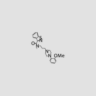 COc1ccccc1N1CCN(CCCN(C)C(=O)c2nsc3ccccc23)CC1